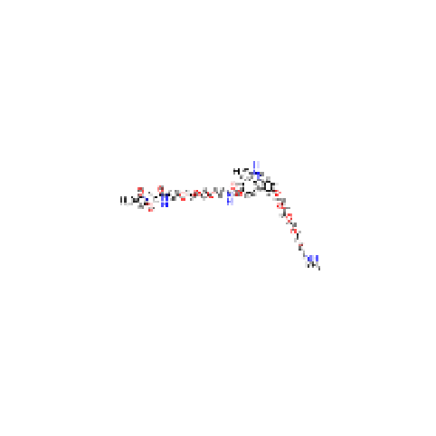 BNCCCOCCOCCOCCOCCOc1ccc(C2=NNC(C)=C3CCC(OC(=O)NCCCOCCOCCOCCCNC(=O)CCN4C(=O)CC(B)C4=O)CCCC23)cc1